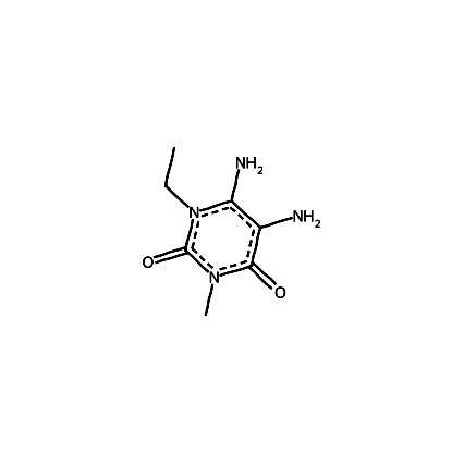 CCn1c(N)c(N)c(=O)n(C)c1=O